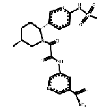 C[C@H]1CC[C@H](c2ccc(NS(C)(=O)=O)nc2)N(C(=O)C(=O)Nc2cncc(C(N)=O)c2)C1